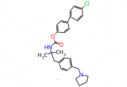 CC(C)(Cc1ccc(CN2CCCC2)cc1)NC(=O)Oc1ccc(-c2ccc(Cl)cc2)cc1